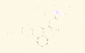 C=C(C(=O)c1c(C(C)=O)cccc1C1CCCCC1)C(CCC(C)=O)C(N)=O